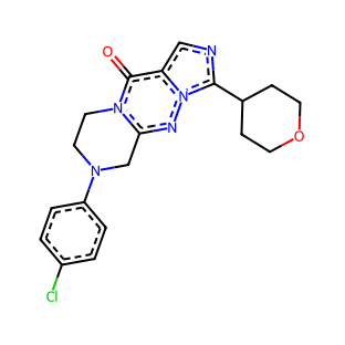 O=c1c2cnc(C3CCOCC3)n2nc2n1CCN(c1ccc(Cl)cc1)C2